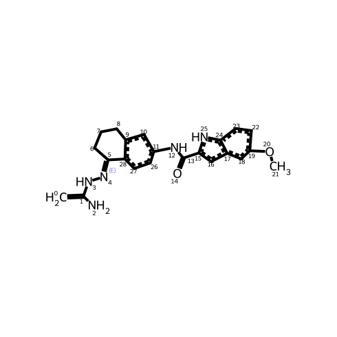 C=C(N)N/N=C1\CCCc2cc(NC(=O)c3cc4cc(OC)ccc4[nH]3)ccc21